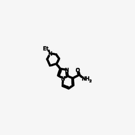 CCN1CCC(c2cn3cccc(C(N)=O)c3n2)CC1